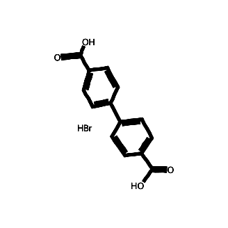 Br.O=C(O)c1ccc(-c2ccc(C(=O)O)cc2)cc1